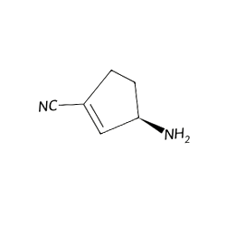 N#CC1=C[C@H](N)CC1